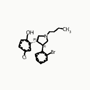 CCCCN1C[C@@H](c2cc(Cl)ccc2O)[C@H](c2ccccc2Br)C1